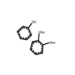 CCCCCCCCCCc1ccccc1CCCCCCCCCC.Oc1ccccc1